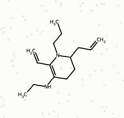 C=CCC1CCC(NCC)=C(C=C)N1CCC